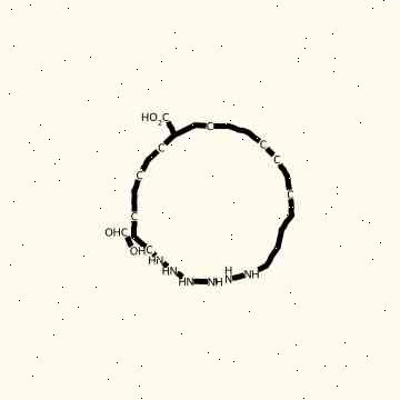 O=C(O)C1CCCCCCCCCCCCNNNNNNCCCCCCC1.O=CO